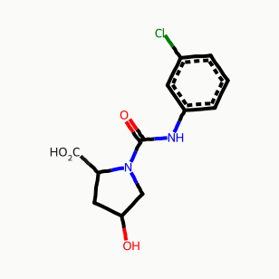 O=C(O)C1CC(O)CN1C(=O)Nc1cccc(Cl)c1